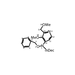 CCCCCCCCCCN(OCc1ccccc1)c1ccnc(COC)c1OC